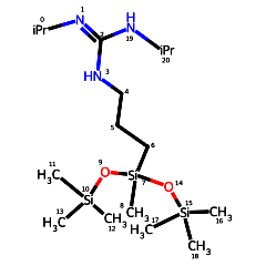 CC(C)/N=C(\NCCC[Si](C)(O[Si](C)(C)C)O[Si](C)(C)C)NC(C)C